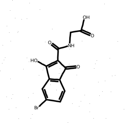 O=C(O)CNC(=O)C1=C(O)c2cc(Br)ccc2C1=O